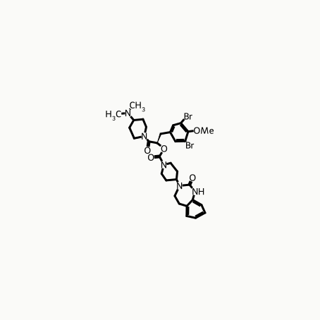 COc1c(Br)cc(C[C@@H](OC(=O)N2CCC(N3CCc4ccccc4NC3=O)CC2)C(=O)N2CCC(N(C)C)CC2)cc1Br